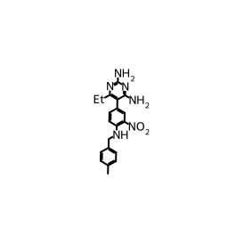 CCc1nc(N)nc(N)c1-c1ccc(NCc2ccc(C)cc2)c([N+](=O)[O-])c1